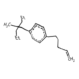 C=CCCc1ccc(C(C)(CC)CC)cc1